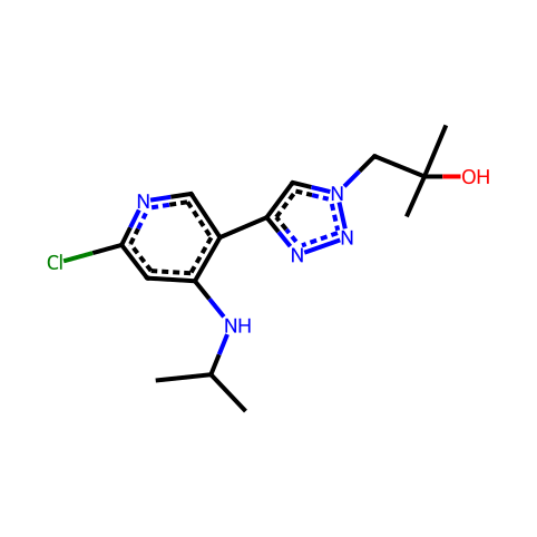 CC(C)Nc1cc(Cl)ncc1-c1cn(CC(C)(C)O)nn1